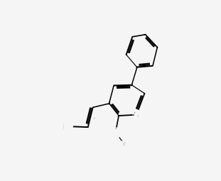 CC/C=C/c1cc(-c2ccccc2)cnc1OC(C)C